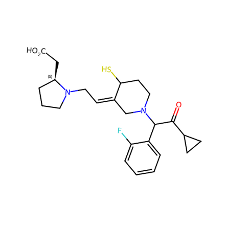 O=C(O)C[C@@H]1CCCN1CC=C1CN(C(C(=O)C2CC2)c2ccccc2F)CCC1S